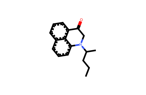 CCCC(C)N1CC(=O)c2cccc3cccc1c23